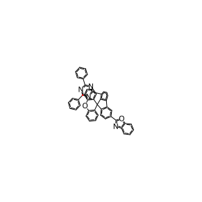 c1ccc(-c2nc(-c3ccccc3)nc(-c3cccc4c3C3(c5ccccc5Oc5ccccc53)c3ccc(-c5nc6ccccc6o5)cc3-4)n2)cc1